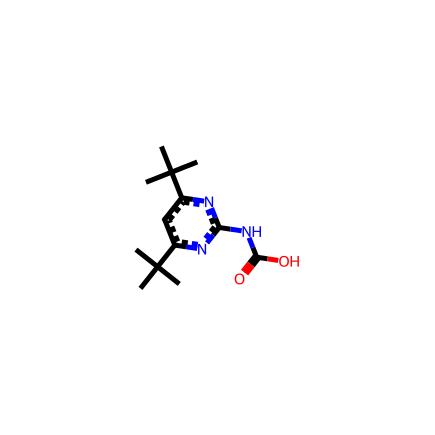 CC(C)(C)c1cc(C(C)(C)C)nc(NC(=O)O)n1